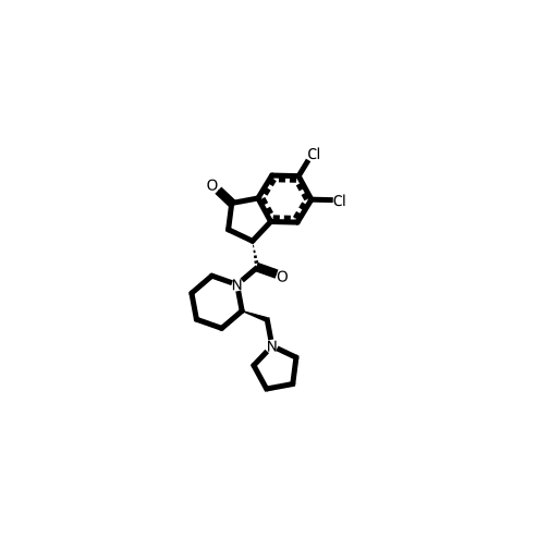 O=C1C[C@@H](C(=O)N2CCCC[C@@H]2CN2CCCC2)c2cc(Cl)c(Cl)cc21